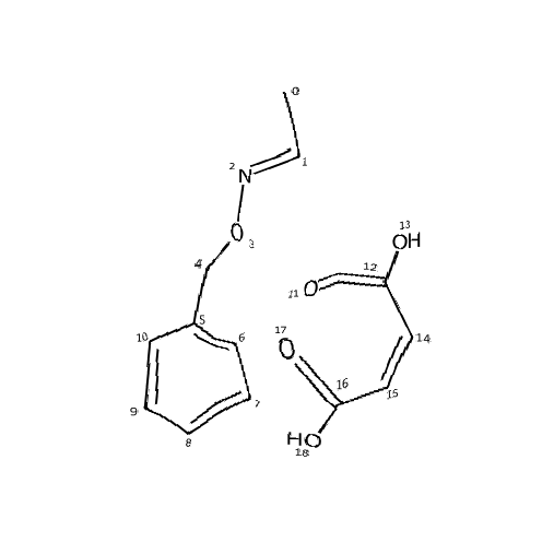 CC=NOCc1ccccc1.O=C(O)/C=C\C(=O)O